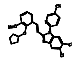 COc1cccc(/C=C/c2nc3cc(Cl)c(Cl)cc3n2-c2ccc(C#N)cn2)c1OC1CCCC1